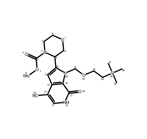 CC(C)(C)OC(=O)N1CCOCC1c1cc2c(C#N)c[nH]c(=O)c2n1COCC[Si](C)(C)C